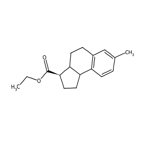 CCOC(=O)[C@@H]1CCC2c3ccc(C)cc3CCC21